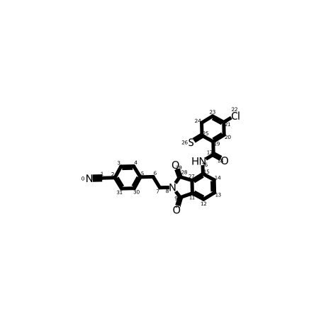 N#Cc1ccc(CCN2C(=O)c3cccc(NC(=O)C4=CC(Cl)=CCC4=S)c3C2=O)cc1